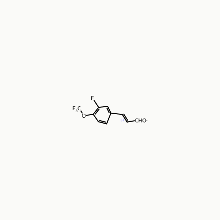 O=[C]/C=C/c1ccc(OC(F)(F)F)c(F)c1